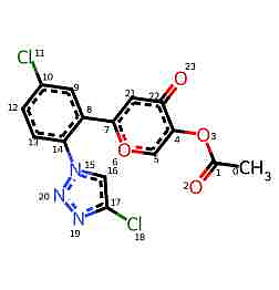 CC(=O)Oc1coc(-c2cc(Cl)ccc2-n2cc(Cl)nn2)cc1=O